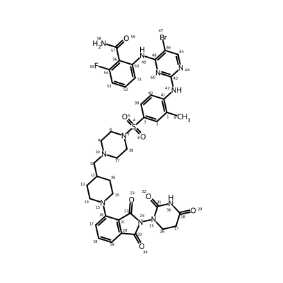 Cc1cc(S(=O)(=O)N2CCN(CC3CCN(c4cccc5c4C(=O)N(N4CCC(=O)NC4=O)C5=O)CC3)CC2)ccc1Nc1ncc(Br)c(Nc2cccc(F)c2C(N)=O)n1